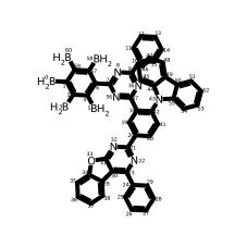 Bc1c(B)c(B)c(-c2nc(-c3ccccc3)nc(-c3cc(-c4nc(-c5ccccc5)c5c(n4)oc4ccccc45)ccc3-n3c4ccccc4c4ccccc43)n2)c(B)c1B